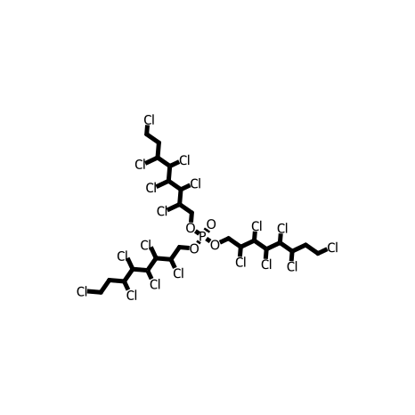 O=P(OCC(Cl)C(Cl)C(Cl)C(Cl)C(Cl)CCCl)(OCC(Cl)C(Cl)C(Cl)C(Cl)C(Cl)CCCl)OCC(Cl)C(Cl)C(Cl)C(Cl)C(Cl)CCCl